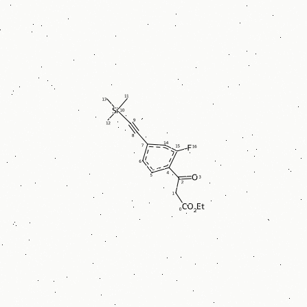 CCOC(=O)CC(=O)c1ccc(C#C[Si](C)(C)C)cc1F